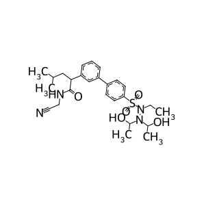 CCN(N(C(C)O)C(C)O)S(=O)(=O)c1ccc(-c2cccc(C(CC(C)C)C(=O)NCC#N)c2)cc1